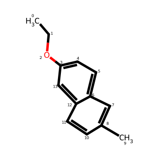 CCOc1ccc2cc(C)ccc2c1